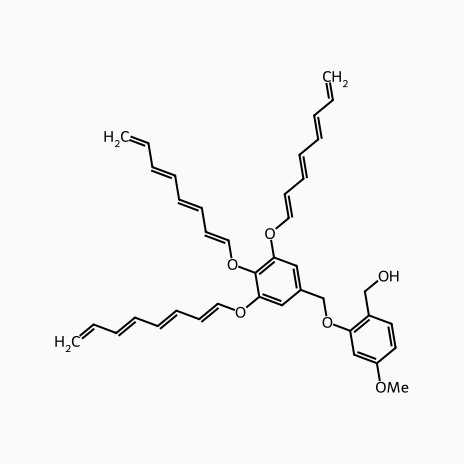 C=C/C=C/C=C/C=C/Oc1cc(COc2cc(OC)ccc2CO)cc(O/C=C/C=C/C=C/C=C)c1O/C=C/C=C/C=C/C=C